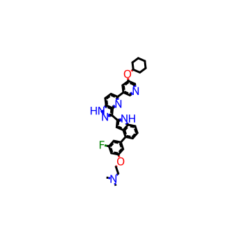 CN(C)CCOc1cc(F)cc(-c2cccc3[nH]c(-c4n[nH]c5ccc(-c6cncc(OC7CCCCC7)c6)nc45)cc23)c1